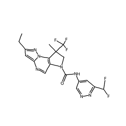 CCc1cc2ncc3c(n2n1)C(C)(C(F)(F)F)CN3C(=O)Nc1cnnc(C(F)F)c1